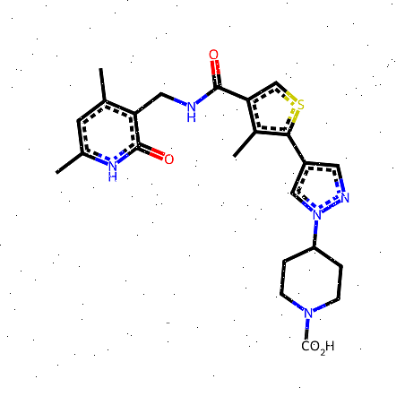 Cc1cc(C)c(CNC(=O)c2csc(-c3cnn(C4CCN(C(=O)O)CC4)c3)c2C)c(=O)[nH]1